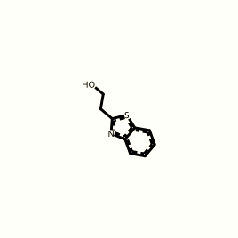 OCCc1nc2ccccc2s1